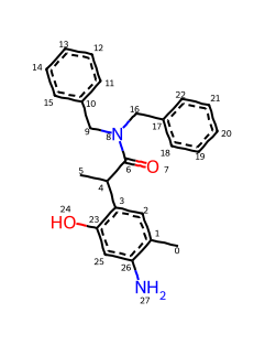 Cc1cc(C(C)C(=O)N(Cc2ccccc2)Cc2ccccc2)c(O)cc1N